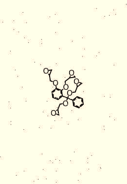 c1ccc(C(OCC2CO2)(OCC2CO2)c2cccc(OCC3CO3)c2OCC2CO2)cc1